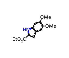 CCOC(=O)c1cc2cc(OC)c(OC)cc2[nH]1